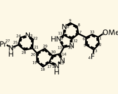 COc1cc(F)cc(-c2ccnc3[nH]c(-c4n[nH]c5ccc(-c6cncc(NC(C)C)c6)cc45)nc23)c1